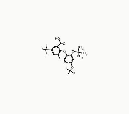 BC(B)(B)Oc1cc(OC(F)(F)F)ccc1Oc1c(C)cc(C(F)(F)F)cc1C(=O)O